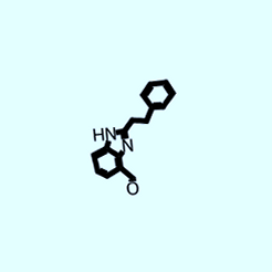 O=Cc1cccc2[nH]c(CCc3ccccc3)nc12